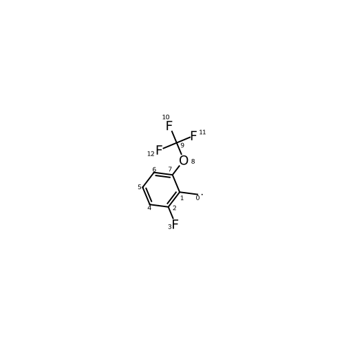 [CH2]c1c(F)cccc1OC(F)(F)F